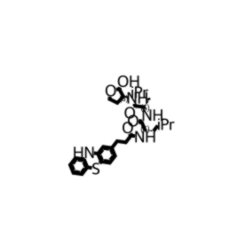 CC(C)C[C@H](NC(=O)CCc1ccc2c(c1)Nc1ccccc1S2)C(=O)N[C@@H](CC(C)C)C(=O)N[C@H]1CCOC1O